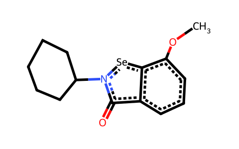 COc1cccc2c(=O)n(C3CCCCC3)[se]c12